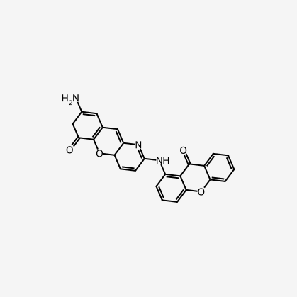 NC1=CC2=C(OC3C=CC(Nc4cccc5oc6ccccc6c(=O)c45)=NC3=C2)C(=O)C1